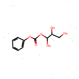 O=C(Oc1ccccc1)OC(O)C(O)CO